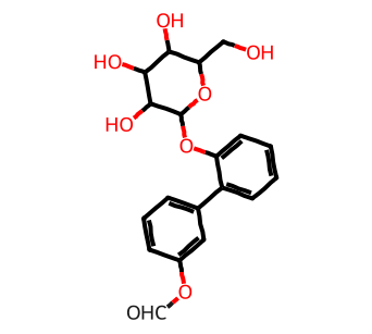 O=COc1cccc(-c2ccccc2OC2OC(CO)C(O)C(O)C2O)c1